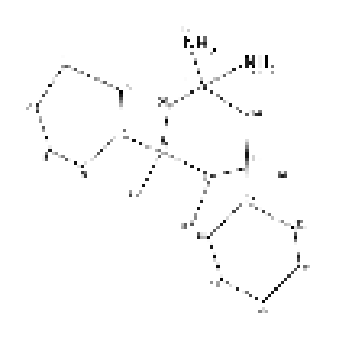 CC1C(C)(C2CCCCC2)CC(N)(N)CC1(C)C1CCCCC1